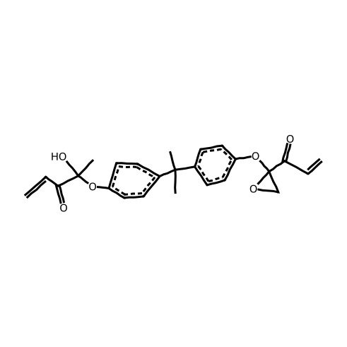 C=CC(=O)C(C)(O)Oc1ccc(C(C)(C)c2ccc(OC3(C(=O)C=C)CO3)cc2)cc1